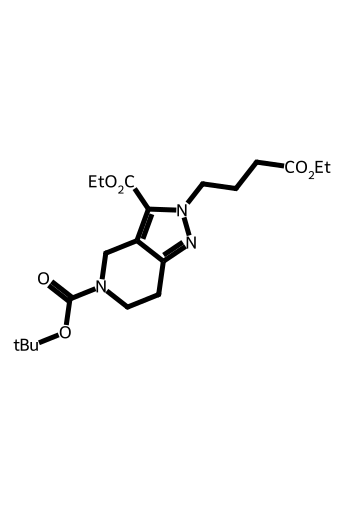 CCOC(=O)CCCn1nc2c(c1C(=O)OCC)CN(C(=O)OC(C)(C)C)CC2